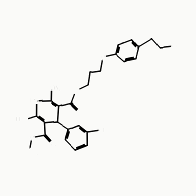 COC(=O)C1=C(C)NC(C)=C(C(=O)OCCCOc2ccc(CCO)cc2)C1c1cccc(Cl)c1